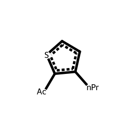 CCCc1ccsc1C(C)=O